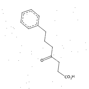 O=C(O)CCC(=O)CCCc1ccccc1